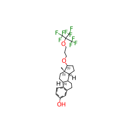 C[C@]12CC[C@@H]3c4ccc(O)cc4CCC3[C@@H]1CC[C@@H]2OCCCOC(C(F)(F)F)(C(F)(F)F)C(F)(F)F